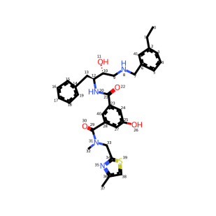 CCc1cccc(CNC[C@@H](O)[C@H](Cc2ccccc2)NC(=O)c2cc(O)cc(C(=O)N(C)Cc3nc(C)cs3)c2)c1